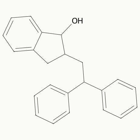 OC1c2ccccc2CC1CC(c1ccccc1)c1ccccc1